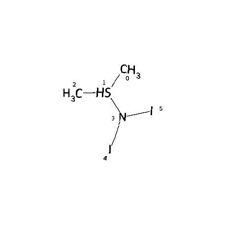 C[SH](C)N(I)I